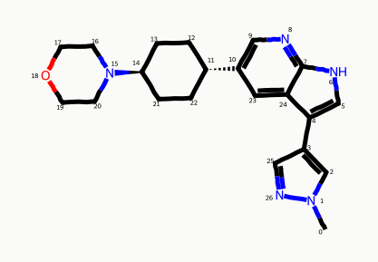 Cn1cc(-c2c[nH]c3ncc([C@H]4CC[C@H](N5CCOCC5)CC4)cc23)cn1